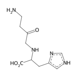 NCCC(=O)CNC(Cc1c[nH]cn1)C(=O)O